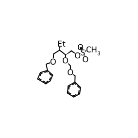 CC[C@H](COCc1ccccc1)[C@@H](COS(C)(=O)=O)OCOCc1ccccc1